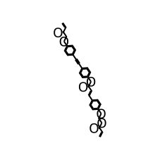 C=CC(=O)COc1ccc(C#Cc2ccc(OC(=O)/C=C/c3ccc(OCOC(=O)C=C)cc3)cc2)cc1